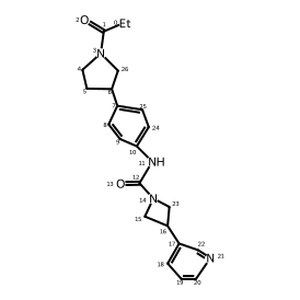 CCC(=O)N1CCC(c2ccc(NC(=O)N3CC(c4cccnc4)C3)cc2)C1